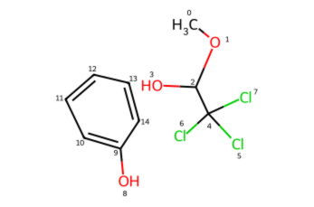 COC(O)C(Cl)(Cl)Cl.Oc1ccccc1